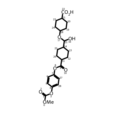 COC(=O)Oc1ccc(OC(=O)C2CCC(C(O)OC3CCC(C(=O)O)CC3)CC2)cc1